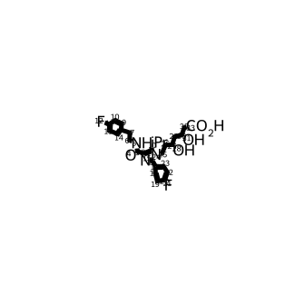 CC(C)c1c(C(=O)NCCc2ccc(F)cc2)nc(-c2ccc(F)cc2)n1CC[C@@H](O)C[C@@H](O)CC(=O)O